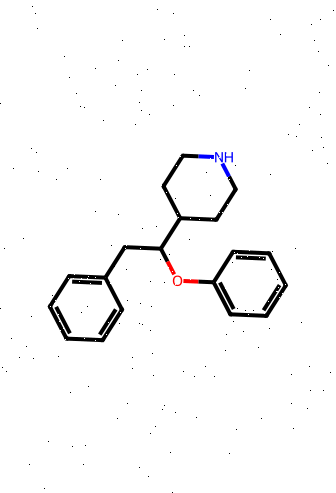 c1ccc(CC(Oc2ccccc2)C2CCNCC2)cc1